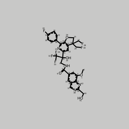 COc1cc(C(=O)NCC(O)(c2cc3c(c(-c4ccc(F)cc4)n2)OCC3(CF)CF)C(F)(F)F)cc2cnc(CO)nc12